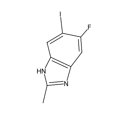 Cc1nc2cc(F)c(I)cc2[nH]1